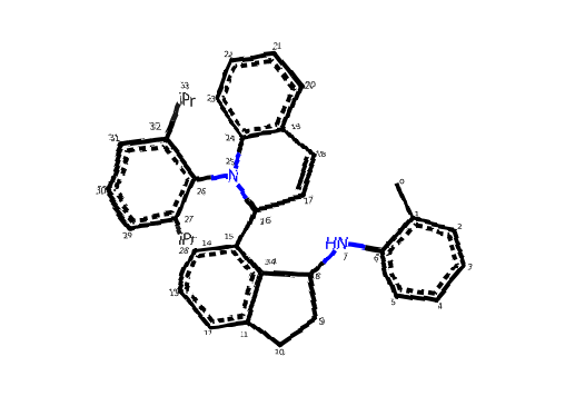 Cc1ccccc1NC1CCc2cccc(C3C=Cc4ccccc4N3c3c(C(C)C)cccc3C(C)C)c21